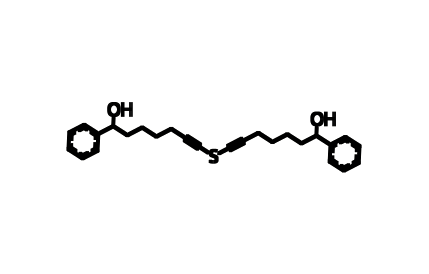 OC(CCCCC#CSC#CCCCCC(O)c1ccccc1)c1ccccc1